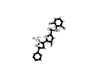 Cn1nc(-c2ccccc2)cc1-c1sc(C(=O)Nc2c(F)cccc2F)cc1F